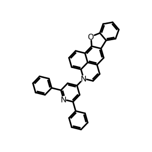 C1=CN(c2cc(-c3ccccc3)nc(-c3ccccc3)c2)c2cccc3c2c1cc1c2ccccc2oc31